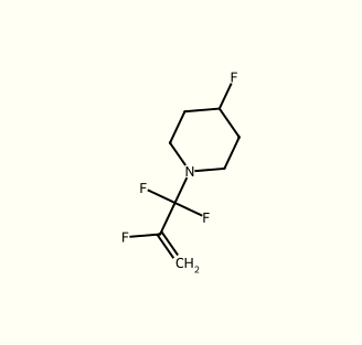 C=C(F)C(F)(F)N1CCC(F)CC1